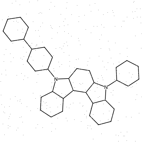 C1CCC(C2CCC(N3C4CCCCC4C4C5C6CCCCC6N(C6CCCCC6)C5CCC43)CC2)CC1